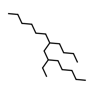 CCCCCCC(CCCC)CC(CC)CCCCC